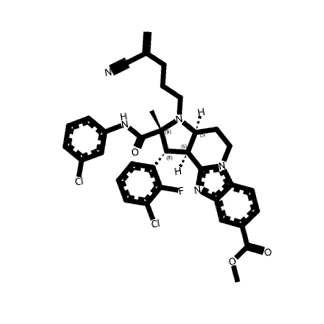 C=C(C#N)CCCN1[C@H]2CCn3c(nc4cc(C(=O)OC)ccc43)[C@H]2[C@H](c2cccc(Cl)c2F)[C@]1(C)C(=O)Nc1cccc(Cl)c1